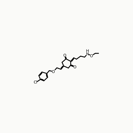 CCONCCCC=C1C(=O)CC(=CCOCc2ccc(Cl)cc2)CC1=O